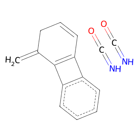 C=C1CC=CC2=C1c1ccccc12.N=C=O.N=C=O